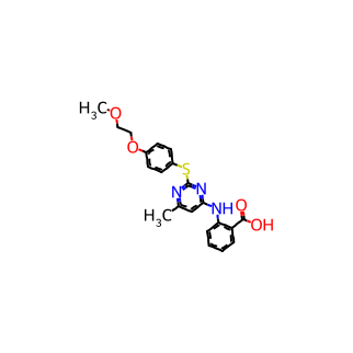 COCCOc1ccc(Sc2nc(C)cc(Nc3ccccc3C(=O)O)n2)cc1